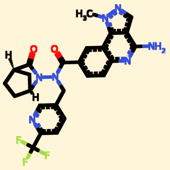 Cn1ncc2c(N)nc3ccc(C(=O)N(Cc4ccc(C(F)(F)F)nc4)N4C(=O)[C@@H]5CC[C@H]4C5)cc3c21